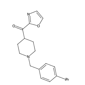 CC(C)c1ccc(CN2CCC(C(=O)c3ncco3)CC2)cc1